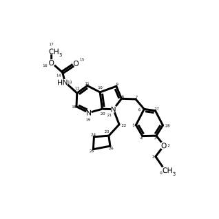 CCOc1ccc(Cc2cc3cc(NC(=O)OC)cnc3n2CC2CCC2)cc1